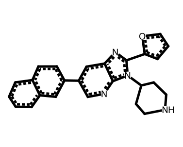 c1coc(-c2nc3cc(-c4ccc5ccccc5c4)cnc3n2C2CCNCC2)c1